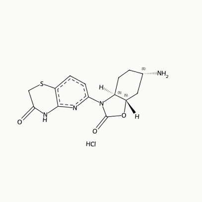 Cl.N[C@H]1CC[C@H]2[C@H](C1)OC(=O)N2c1ccc2c(n1)NC(=O)CS2